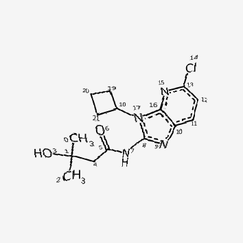 CC(C)(O)CC(=O)Nc1nc2ccc(Cl)nc2n1C1CCC1